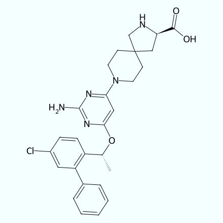 C[C@@H](Oc1cc(N2CCC3(CC2)CN[C@@H](C(=O)O)C3)nc(N)n1)c1ccc(Cl)cc1-c1ccccc1